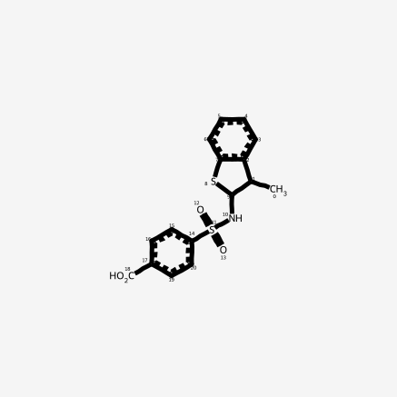 CC1c2ccccc2SC1NS(=O)(=O)c1ccc(C(=O)O)cc1